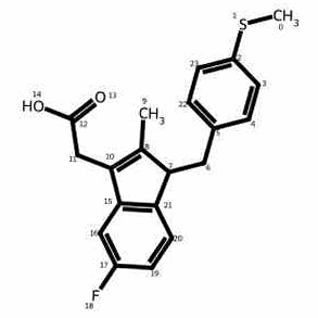 CSc1ccc(CC2C(C)=C(CC(=O)O)c3cc(F)ccc32)cc1